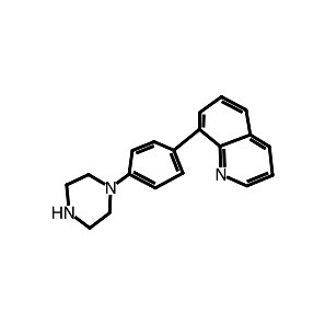 c1cnc2c(-c3ccc(N4CCNCC4)cc3)cccc2c1